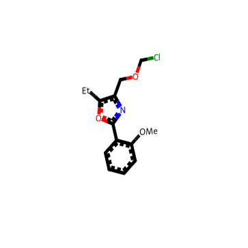 CCc1oc(-c2ccccc2OC)nc1COCCl